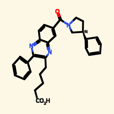 O=C(O)CCCCc1nc2cc(C(=O)N3CC[C@@H](c4ccccc4)C3)ccc2nc1-c1ccccc1